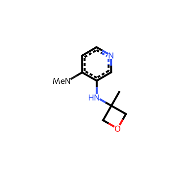 CNc1ccncc1NC1(C)COC1